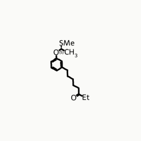 CCC(=O)CCCCCc1cccc(O[C@H](C)SC)c1